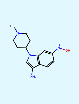 CN1CCC(n2cc(N)c3ccc(NO)cc32)CC1